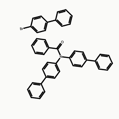 Brc1ccc(-c2ccccc2)cc1.O=C(c1ccccc1)N(c1ccc(-c2ccccc2)cc1)c1ccc(-c2ccccc2)cc1